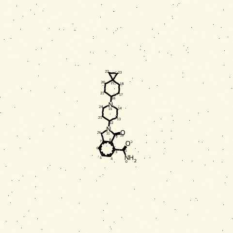 NC(=O)c1cccc2c1C(=O)N(C1CCN(C3CCC4(CC3)CC4)CC1)C2